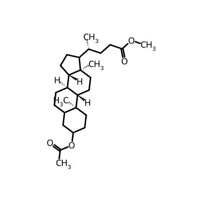 COC(=O)CC[C@@H](C)C1CC[C@H]2[C@@H]3CCC4CC(OC(C)=O)CC[C@]4(C)[C@H]3CC[C@]12C